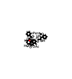 CCCCCC(=O)N[C@@H](c1ccccc1)[C@@H](O)C(=O)O[C@H]1C[C@@]2(O)[C@@H](OC(=O)c3ccccc3)C34[C@]5(OC(C)=O)CO[C@@H]5C[C@H](O)[C@@]3(C)C(=O)[C@H](OC(C)=O)C(=C1C)[C@]42C